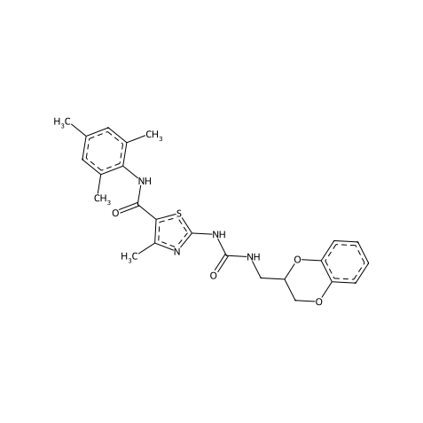 Cc1cc(C)c(NC(=O)c2sc(NC(=O)NCC3COc4ccccc4O3)nc2C)c(C)c1